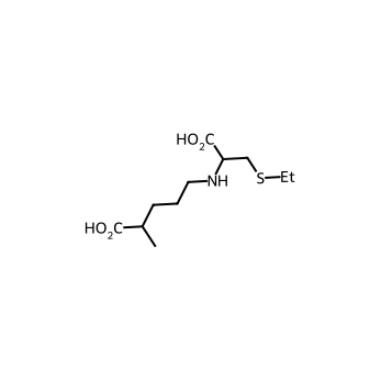 CCSCC(NCCCC(C)C(=O)O)C(=O)O